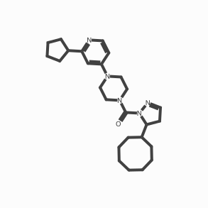 O=C(N1CCN(c2ccnc(C3CCCC3)c2)CC1)N1N=CCC1C1CCCCCCC1